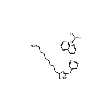 CCCCCCCCCCCCCCCCCCc1c[nH]c(Cc2ccccc2)n1.ClN(Cl)Cl.c1ccc2ncccc2c1